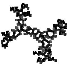 Cc1sc(-c2ccc(N(c3ccc(-c4ccc(N(c5ccc(-c6sc(C)c(C)c6C)cc5)c5ccc(-c6sc(C)c(C)c6C)cc5)cc4)cc3)c3ccc(-c4sc(C)c(C)c4C)cc3)cc2)c(C)c1C